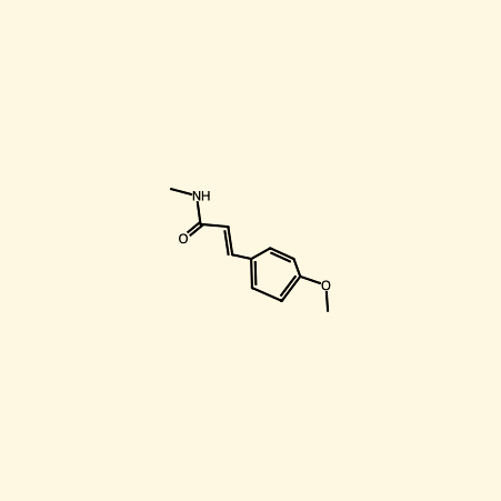 CNC(=O)C=Cc1ccc(OC)cc1